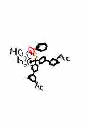 C=CC(SC(Oc1ccccc1)C(=O)O)(c1ccc(-c2cccc(C(C)=O)c2)cc1)c1ccc(-c2cccc(C(C)=O)c2)cc1